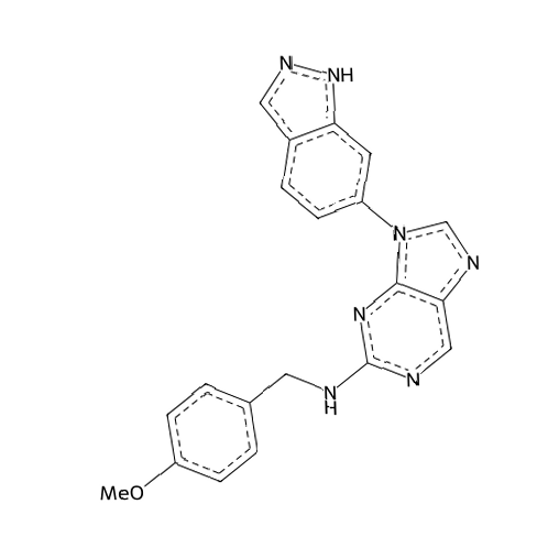 COc1ccc(CNc2ncc3ncn(-c4ccc5cn[nH]c5c4)c3n2)cc1